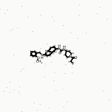 COc1ccccc1CNc1ccc2cc(NC(=O)NC3CCN(C(=O)CF)CC3)ccc2n1